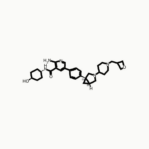 Nc1ncc(-c2ccc([C@]34C[C@H]3CN(C3CCN(CC5COC5)CC3)C4)cc2)cc1C(=O)N[C@H]1CC[C@H](O)CC1